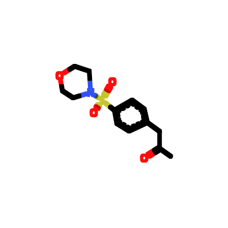 CC(=O)Cc1ccc(S(=O)(=O)N2CCOCC2)cc1